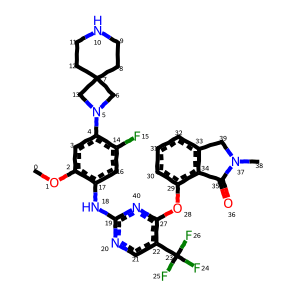 COc1cc(N2CC3(CCNCC3)C2)c(F)cc1Nc1ncc(C(F)(F)F)c(Oc2cccc3c2C(=O)N(C)C3)n1